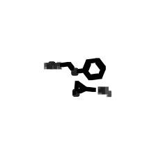 CC1CO1.CCCCCCCCCOc1ccccc1.P